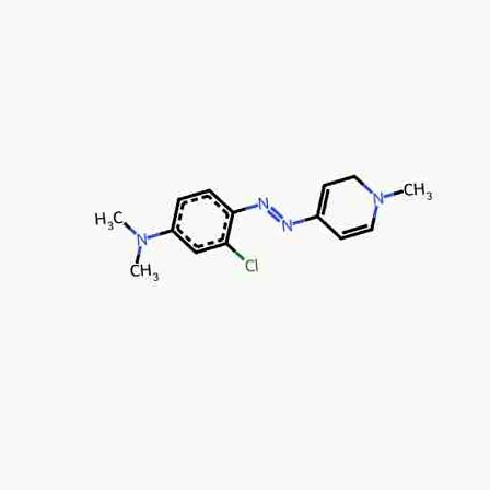 CN1C=CC(N=Nc2ccc(N(C)C)cc2Cl)=CC1